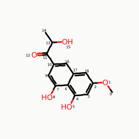 COc1cc(O)c2c(O)cc(C(=O)C(C)O)cc2c1